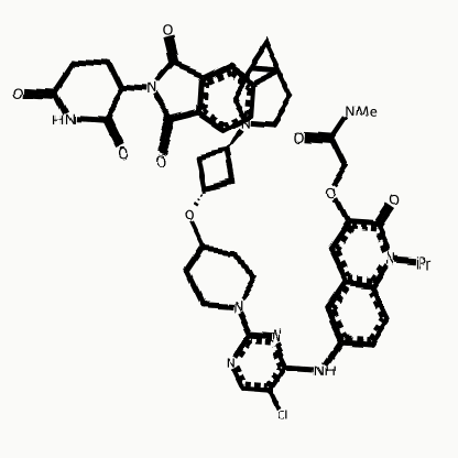 CNC(=O)COc1cc2cc(Nc3nc(N4CCC(O[C@H]5C[C@H](N6CCC7(c8ccc9c(c8)C(=O)N(C8CCC(=O)NC8=O)C9=O)CC7C6)C5)CC4)ncc3Cl)ccc2n(C(C)C)c1=O